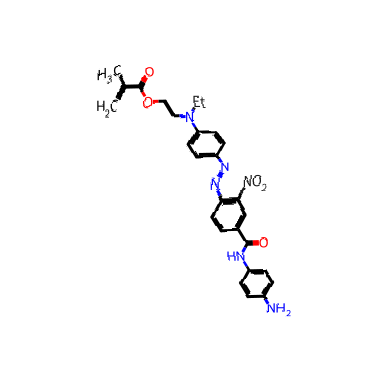 C=C(C)C(=O)OCCN(CC)c1ccc(/N=N/c2ccc(C(=O)Nc3ccc(N)cc3)cc2[N+](=O)[O-])cc1